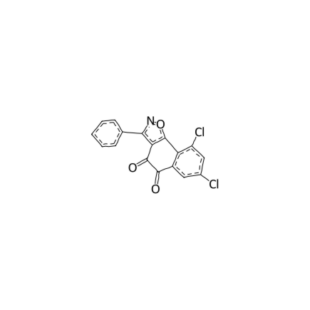 O=C1C(=O)c2c(-c3ccccc3)noc2-c2c(Cl)cc(Cl)cc21